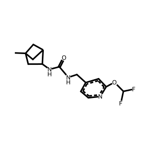 CC12CC(C1)C(NC(=O)NCc1ccnc(OC(F)F)c1)C2